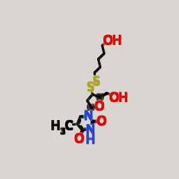 Cc1cn([C@@H]2CC(SSCCCCCO)[C@@H](CO)O2)c(=O)[nH]c1=O